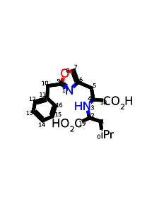 CC(C)CC(NC(Cc1coc(Cc2ccccc2)n1)C(=O)O)C(=O)O